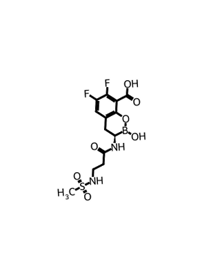 CS(=O)(=O)NCCC(=O)N[C@H]1Cc2cc(F)c(F)c(C(=O)O)c2OB1O